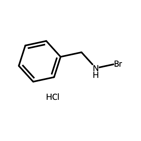 BrNCc1ccccc1.Cl